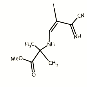 COC(=O)C(C)(C)N/C=C(/I)C(=N)C#N